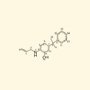 C=CCNc1ccc(C(C)(C)c2ccccc2)cc1O